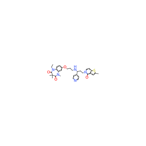 CCN1C(=O)C(C)(C)C(=O)N(C)c2cc(OCCCNC(CCn3ccc4sc(C)cc4c3=O)c3ccncc3)ccc21